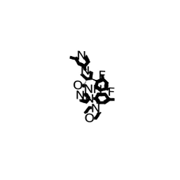 Cc1ccc(-n2ccnc2NC(=O)[C@@H]2CN(c3ccnc(C)c3)C[C@H]2c2ccc(F)cc2F)c(N2CCOCC2)c1